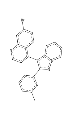 Cc1cccc(-c2nn3ccccc3c2-c2ccnc3cc(Br)ccc23)n1